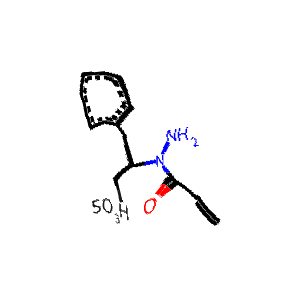 C=CC(=O)N(N)C(CS(=O)(=O)O)c1ccccc1